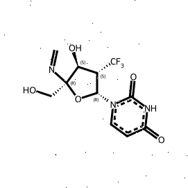 C=N[C@]1(CO)O[C@@H](n2ccc(=O)[nH]c2=O)[C@@H](C(F)(F)F)[C@@H]1O